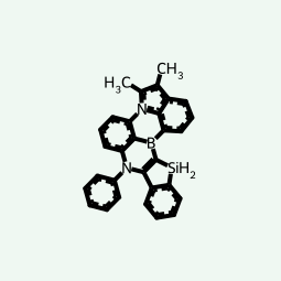 Cc1c(C)n2c3c(cccc13)B1C3=C(c4ccccc4[SiH2]3)N(c3ccccc3)c3cccc-2c31